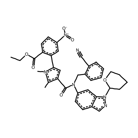 CCOC(=O)c1ccc([N+](=O)[O-])cc1-c1cc(C(=O)N(Cc2ccccc2C#N)c2ccc3cnn(C4CCCCO4)c3c2)c(C)n1C